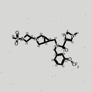 Cn1cnc(C(=O)N(Cc2cccc(OC(F)(F)F)c2)CC2C3CN(C4CN(S(C)(=O)=O)C4)CC23)c1